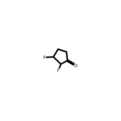 O=C1CCC(F)C1F